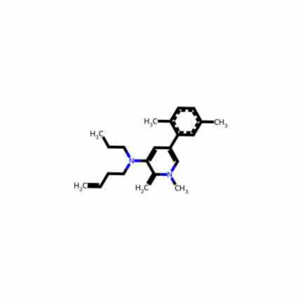 C=CCCN(CCC)C1=CC(c2cc(C)ccc2C)=CN(C)C1=C